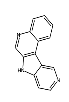 c1ccc2c(c1)ncc1[nH]c3ccncc3c12